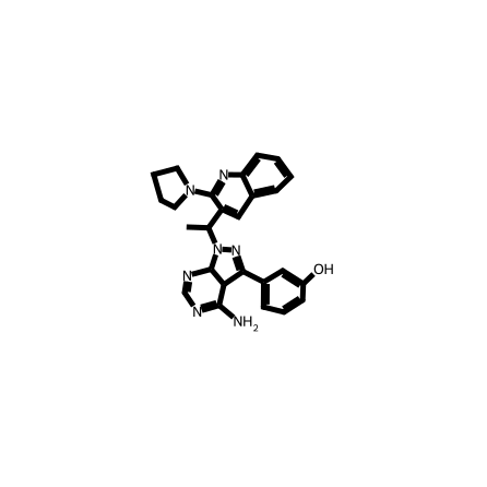 CC(c1cc2ccccc2nc1N1CCCC1)N1N=C(c2cccc(O)c2)C2C(N)=NC=NC21